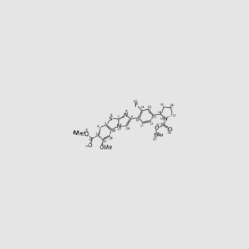 COC(=O)c1cc2sc3nc(-c4ccc(C5CCCN5C(=O)OC(C)(C)C)cc4F)cn3c2cc1OC